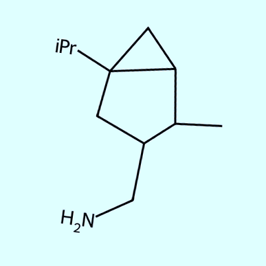 CC1C(CN)CC2(C(C)C)CC12